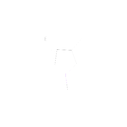 CC[C@H]1CI(C)CC1C